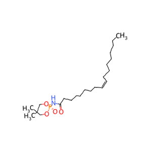 CCCCCCCC/C=C\CCCCCCCC(=O)NP1(=O)OCC(C)(C)CO1